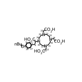 CCCCOc1ccc(CC(C(=O)O)N2CCN(CC(=O)O)CCN(CC(=O)O)CCN(CC(=O)O)CC2)cc1